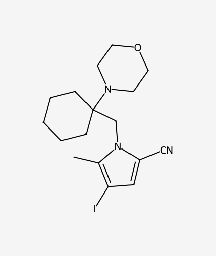 Cc1c(I)cc(C#N)n1CC1(N2CCOCC2)CCCCC1